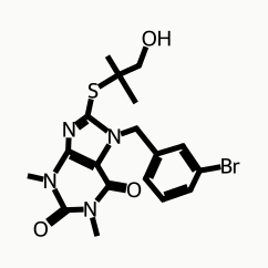 Cn1c(=O)c2c(nc(SC(C)(C)CO)n2Cc2cccc(Br)c2)n(C)c1=O